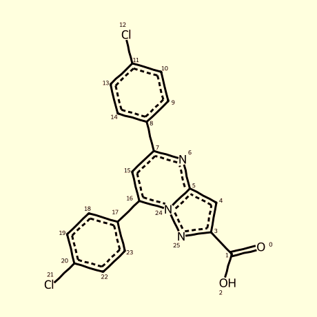 O=C(O)c1cc2nc(-c3ccc(Cl)cc3)cc(-c3ccc(Cl)cc3)n2n1